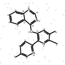 Cc1ccc(-c2nc(C)c(C)cc2Oc2ncnc3ccccc23)nc1